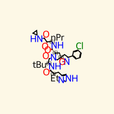 CCC[C@H](NC(=O)[C@@H]1C[C@]2(CC(c3cccc(Cl)c3)=NO2)CN1C(=O)[C@@H](NC(=O)[C@@H](CC)Cc1c[nH]cn1)C(C)(C)C)C(=O)C(=O)NC1CC1